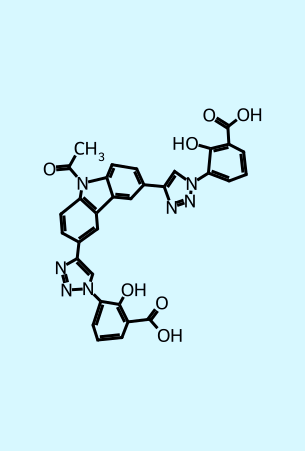 CC(=O)n1c2ccc(-c3cn(-c4cccc(C(=O)O)c4O)nn3)cc2c2cc(-c3cn(-c4cccc(C(=O)O)c4O)nn3)ccc21